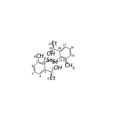 CC[C@H](O)c1cccc(C)c1[Se][Se]c1c(C)cccc1[C@@H](O)CC